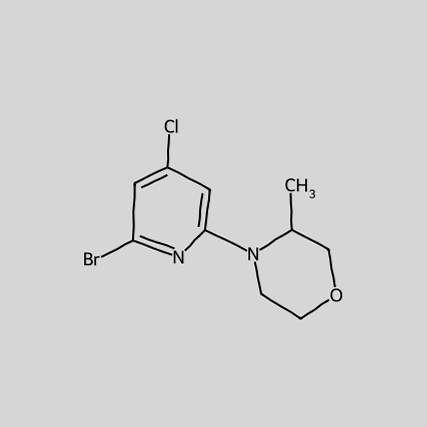 CC1COCCN1c1cc(Cl)cc(Br)n1